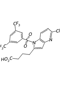 O=C(O)CCCc1cc2nc(Cl)ccc2n1S(=O)(=O)c1cc(C(F)(F)F)cc(C(F)(F)F)c1